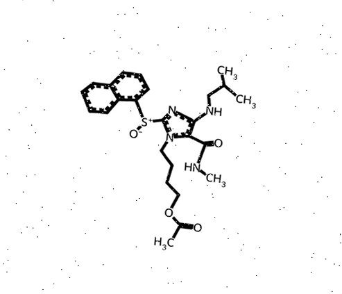 CNC(=O)c1c(NCC(C)C)nc([S+]([O-])c2cccc3ccccc23)n1CCCCOC(C)=O